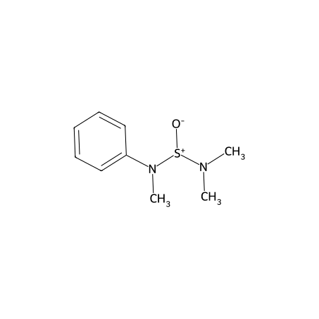 CN(C)[S+]([O-])N(C)c1ccccc1